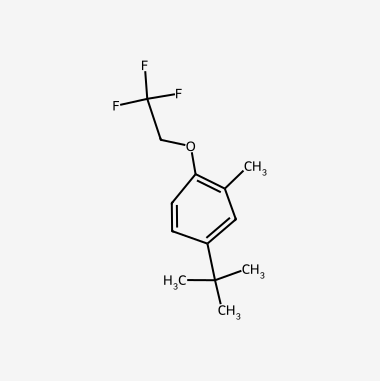 Cc1cc(C(C)(C)C)ccc1OCC(F)(F)F